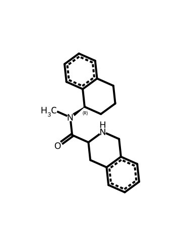 CN(C(=O)C1Cc2ccccc2CN1)[C@@H]1CCCc2ccccc21